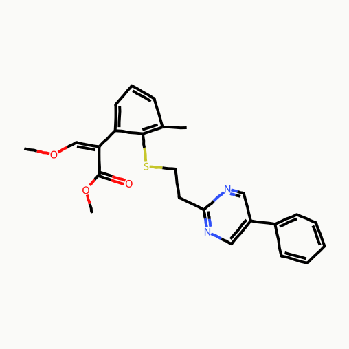 COC=C(C(=O)OC)c1cccc(C)c1SCCc1ncc(-c2ccccc2)cn1